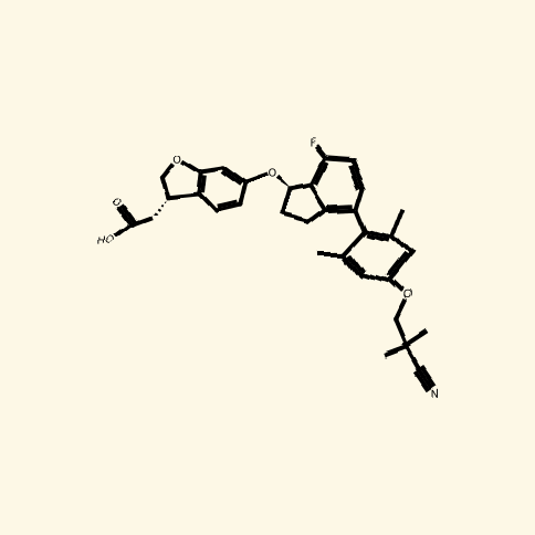 Cc1cc(OCC(C)(C)C#N)cc(C)c1-c1ccc(F)c2c1CC[C@H]2Oc1ccc2c(c1)OC[C@H]2CC(=O)O